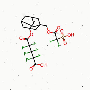 O=C(O)C(F)(F)C(F)(F)C(F)(F)C(=O)OC12CC3CC(CC(COC(=O)C(F)(F)S(=O)(=O)O)(C3)C1)C2